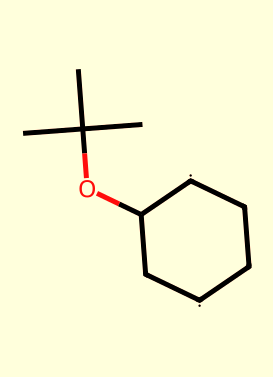 CC(C)(C)OC1[CH]CC[CH]C1